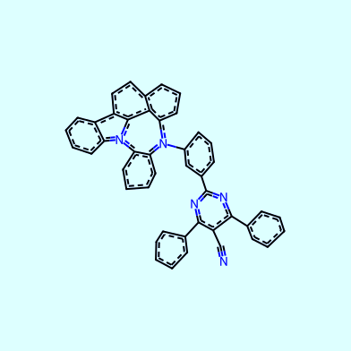 N#Cc1c(-c2ccccc2)nc(-c2cccc(-n3c4cccc5ccc6c7ccccc7n(c7ccccc73)c6c54)c2)nc1-c1ccccc1